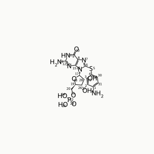 Nc1ccc(Sc2nc3c(=O)[nH]c(N)nc3n2[C@@H]2O[C@H](COP(=O)(O)O)[C@@H](O)[C@H]2O)cc1